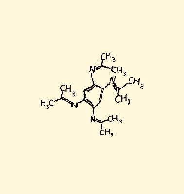 CC(C)=Nc1cc(N=C(C)C)c(N=C(C)C)cc1N=C(C)C